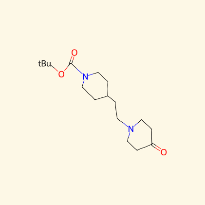 CC(C)(C)OC(=O)N1CCC(CCN2CCC(=O)CC2)CC1